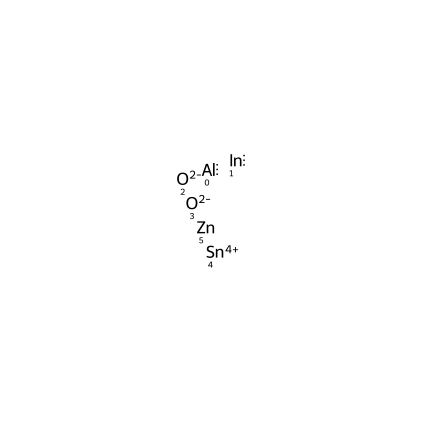 [Al].[In].[O-2].[O-2].[Sn+4].[Zn]